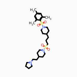 Cc1cc(C)c(S(=O)(=O)N2CCC(CCCS(=O)(=O)N3CCC(CCN4CCCC4)CC3)CC2)c(C)c1